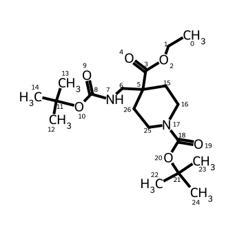 CCOC(=O)C1(CNC(=O)OC(C)(C)C)CCN(C(=O)OC(C)(C)C)CC1